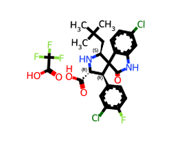 CC(C)(C)C[C@@H]1N[C@@H](C(=O)O)[C@H](c2ccc(F)c(Cl)c2)C12C(=O)Nc1cc(Cl)ccc12.O=C(O)C(F)(F)F